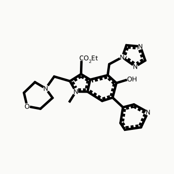 CCOC(=O)c1c(CN2CCOCC2)n(C)c2cc(-c3cccnc3)c(O)c(Cn3cncn3)c12